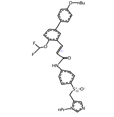 CCCCOc1ccc(-c2ccc(OC(F)F)c(/C=C/C(=O)Nc3ccc([S@+]([O-])Cc4cncn4CCC)cc3)c2)cc1